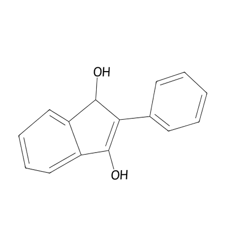 OC1=C(c2ccccc2)C(O)c2ccccc21